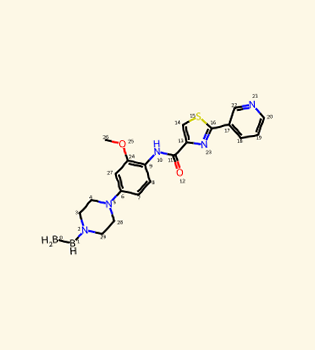 BBN1CCN(c2ccc(NC(=O)c3csc(-c4cccnc4)n3)c(OC)c2)CC1